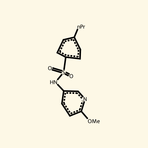 CCCc1ccc(S(=O)(=O)Nc2ccc(OC)nc2)cc1